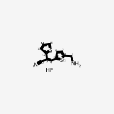 I.N#CC(=Cc1ccc(CN)s1)c1cccs1